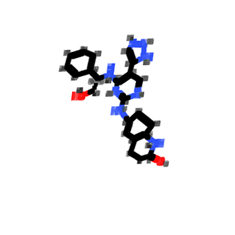 O=C1CCc2cc(Nc3ncc(-c4cnn[nH]4)c(N[C@H](CO)c4ccccc4)n3)ccc2N1